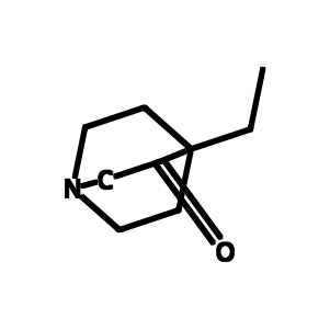 CCC12CCN(CC1)CC2=O